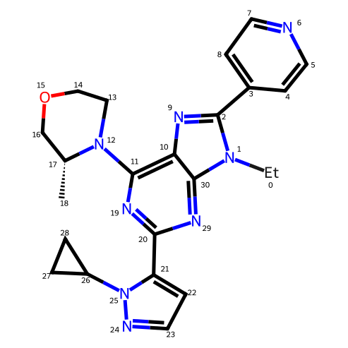 CCn1c(-c2ccncc2)nc2c(N3CCOC[C@H]3C)nc(-c3ccnn3C3CC3)nc21